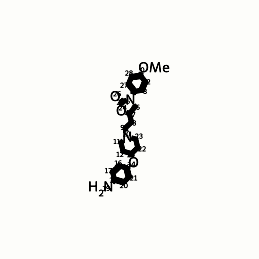 COc1ccc(N2CC(CCN3CCC(Oc4ccc(N)cc4)CC3)OC2=O)cc1